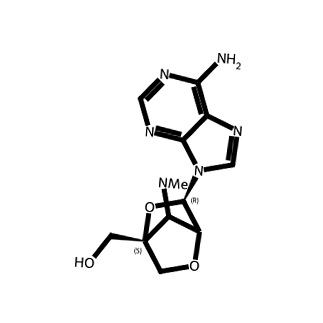 CNC1C2OC[C@]1(CO)O[C@H]2n1cnc2c(N)ncnc21